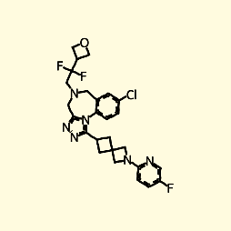 Fc1ccc(N2CC3(CC(c4nnc5n4-c4ccc(Cl)cc4CN(CC(F)(F)C4COC4)C5)C3)C2)nc1